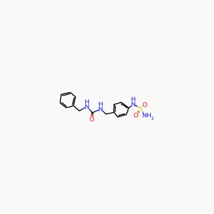 NS(=O)(=O)Nc1ccc(CNC(=O)NCc2ccccc2)cc1